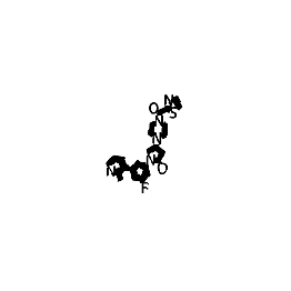 Cc1ncccc1-c1cc(F)cc(N2CC(N3CCN(C(=O)c4nccs4)CC3)CC2=O)c1